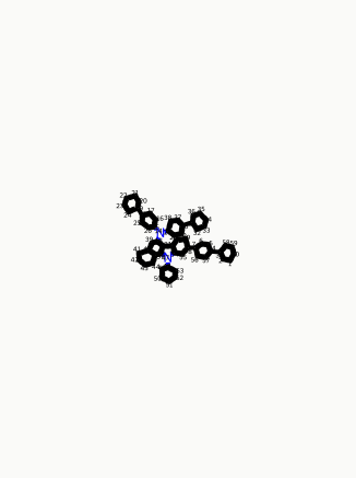 c1ccc(-c2ccc(-c3ccc4c5c(N(c6ccc(-c7ccccc7)cc6)c6ccc(-c7ccccc7)cc6)cc6ccccc6c5n(-c5ccccc5)c4c3)cc2)cc1